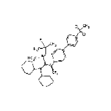 CC(C)(F)C[C@@H](C(=O)O)N([C@@H](c1ccc(-c2ccc(S(C)(=O)=O)cc2)cc1)C(F)(F)F)N(C1CCCCC1)C1CCCCC1